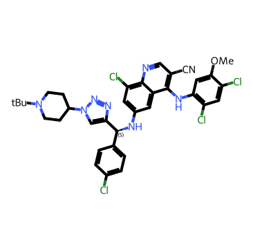 COc1cc(Nc2c(C#N)cnc3c(Cl)cc(N[C@@H](c4ccc(Cl)cc4)c4cn(C5CCN(C(C)(C)C)CC5)nn4)cc23)c(Cl)cc1Cl